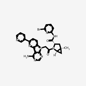 C[C@@]12C[C@@H](C(=O)Nc3cccc(Br)n3)N(C(=O)Cn3c4ccc(-c5cccnc5)nc4c4c(N)ncnc43)[C@@H]1C2